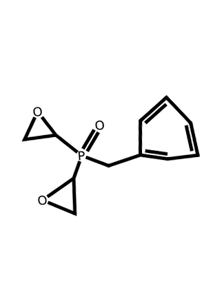 O=P(Cc1ccccc1)(C1CO1)C1CO1